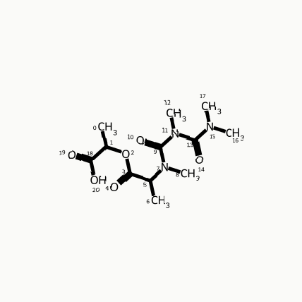 CC(OC(=O)C(C)N(C)C(=O)N(C)C(=O)N(C)C)C(=O)O